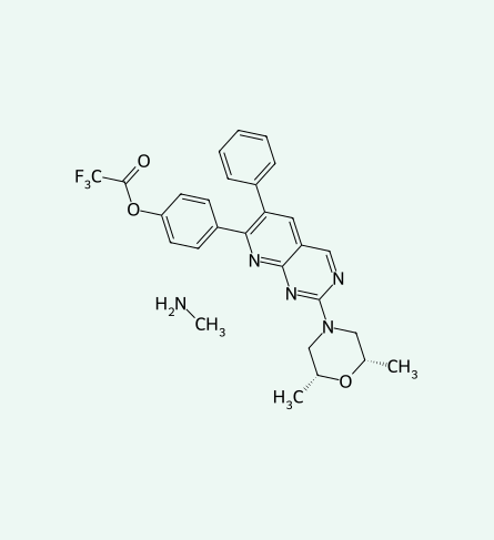 CN.C[C@@H]1CN(c2ncc3cc(-c4ccccc4)c(-c4ccc(OC(=O)C(F)(F)F)cc4)nc3n2)C[C@H](C)O1